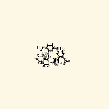 Cc1cnc(Nc2cc(-n3cnnn3)c(C3CC3)cc2F)nc1NC[C@@H]1CCCN2CCCC[C@H]12